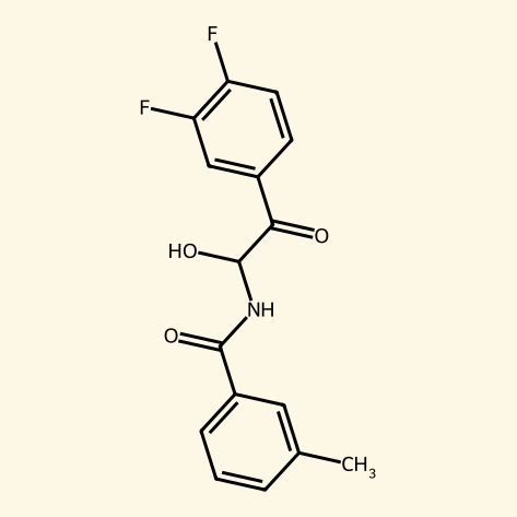 Cc1cccc(C(=O)NC(O)C(=O)c2ccc(F)c(F)c2)c1